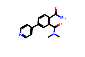 CN(C)C(=O)c1cc(-c2ccncc2)ccc1C(N)=O